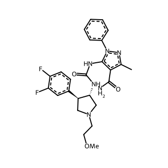 COCCN1C[C@@H](NC(=O)Nc2c(C(N)=O)c(C)nn2-c2ccccc2)[C@H](c2ccc(F)c(F)c2)C1